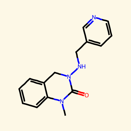 CN1C(=O)N(NCc2cccnc2)Cc2ccccc21